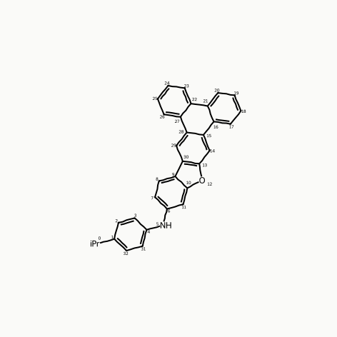 CC(C)c1ccc(Nc2ccc3c(c2)oc2cc4c5ccccc5c5ccccc5c4cc23)cc1